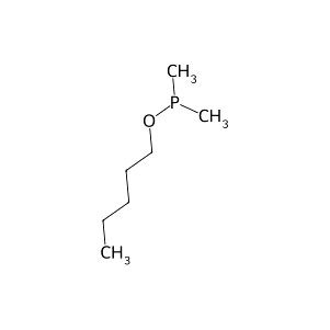 CCCCCOP(C)C